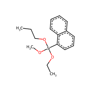 CCCO[Si](OC)(OCC)c1cccc2ccccc12